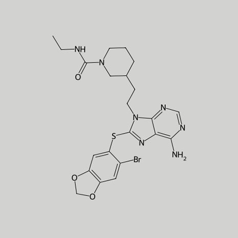 CCNC(=O)N1CCCC(CCn2c(Sc3cc4c(cc3Br)OCO4)nc3c(N)ncnc32)C1